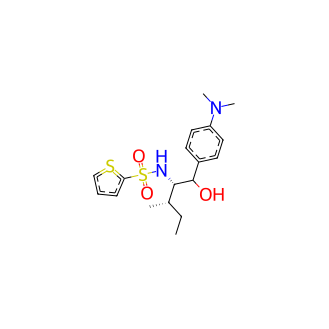 CC[C@H](C)[C@H](NS(=O)(=O)c1cccs1)C(O)c1ccc(N(C)C)cc1